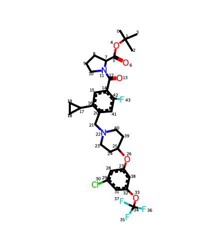 CC(C)(C)OC(=O)C1CCCN1C(=O)c1cc(C2CC2)c(CN2CCC(Oc3cc(Cl)cc(OC(F)(F)F)c3)CC2)cc1F